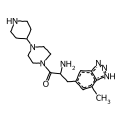 Cc1cc(CC(N)C(=O)N2CCN(C3CCNCC3)CC2)cc2nn[nH]c12